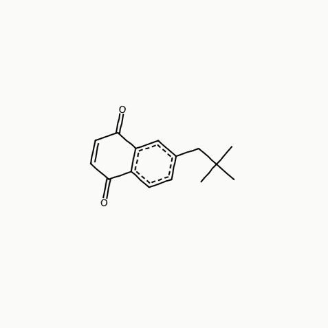 CC(C)(C)Cc1ccc2c(c1)C(=O)C=CC2=O